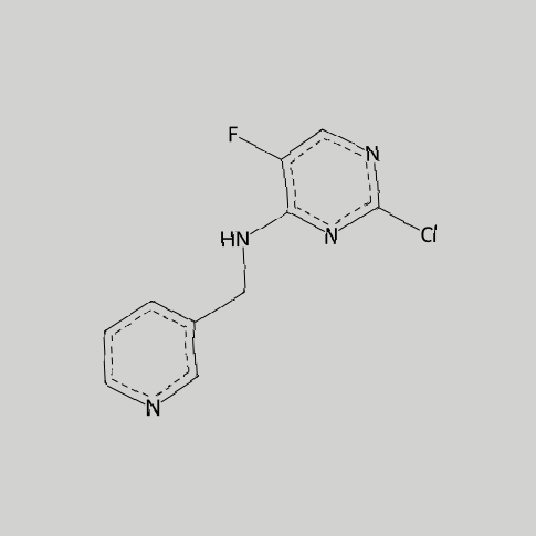 Fc1cnc(Cl)nc1NCc1cccnc1